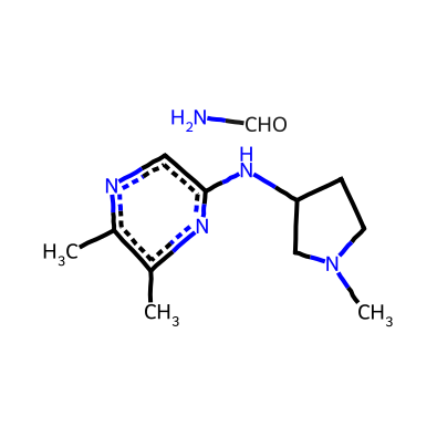 Cc1ncc(NC2CCN(C)C2)nc1C.NC=O